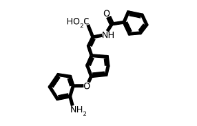 Nc1ccccc1Oc1cccc(C=C(NC(=O)c2ccccc2)C(=O)O)c1